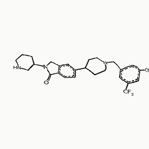 O=C1c2ccc(C3CCN(Cc4cc(C(F)(F)F)cc(C(F)(F)F)c4)CC3)cc2CN1C1CCCNC1